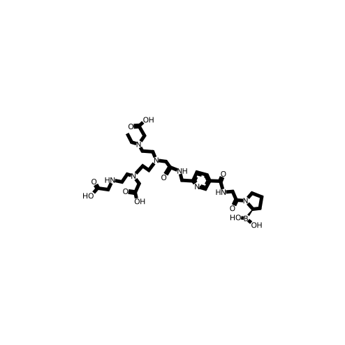 CCN(CCN(CCN(CCNCC(=O)O)CC(=O)O)CC(=O)NCc1ccc(C(=O)NCC(=O)N2CCC[C@H]2B(O)O)cn1)CC(=O)O